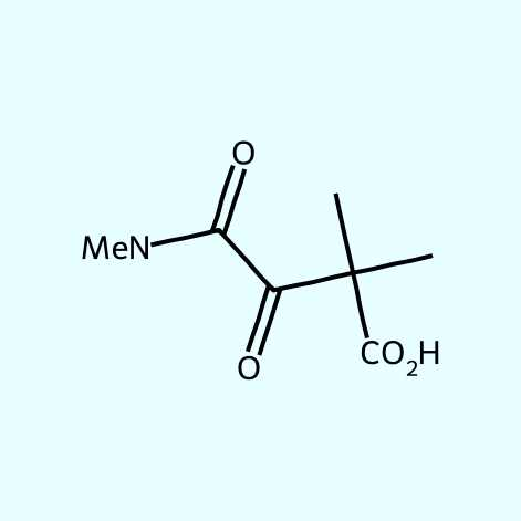 CNC(=O)C(=O)C(C)(C)C(=O)O